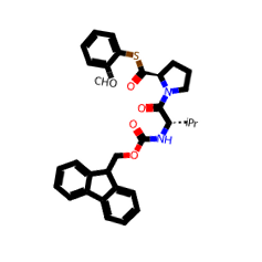 CC(C)[C@H](NC(=O)OCC1c2ccccc2-c2ccccc21)C(=O)N1CCC[C@@H]1C(=O)Sc1ccccc1C=O